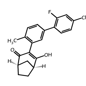 Cc1ccc(-c2ccc(Cl)cc2F)cc1C1=C(O)[C@H]2CC[C@H](C2)C1=O